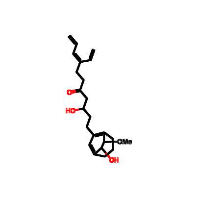 C=C/C=C(\C=C)CCC(=O)CC(O)CCC1=C2CCCC(=C1)C(O)C2OC